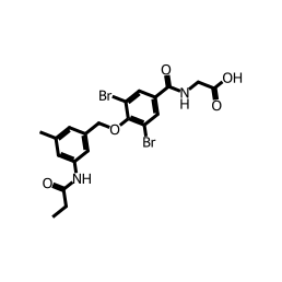 CCC(=O)Nc1cc(C)cc(COc2c(Br)cc(C(=O)NCC(=O)O)cc2Br)c1